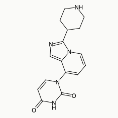 O=c1ccn(-c2cccn3c(C4CCNCC4)ncc23)c(=O)[nH]1